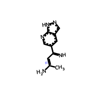 C/C(N)=C\C(=N)c1cnc2[nH]ncc2c1